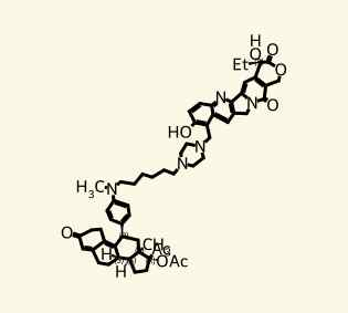 CC[C@@]1(O)C(=O)OCc2c1cc1n(c2=O)Cc2cc3c(CN4CCN(CCCCCCN(C)c5ccc([C@H]6C[C@@]7(C)[C@@H](CC[C@]7(OC(C)=O)C(C)=O)[C@@H]7CCC8=CC(=O)CCC8=C76)cc5)CC4)c(O)ccc3nc2-1